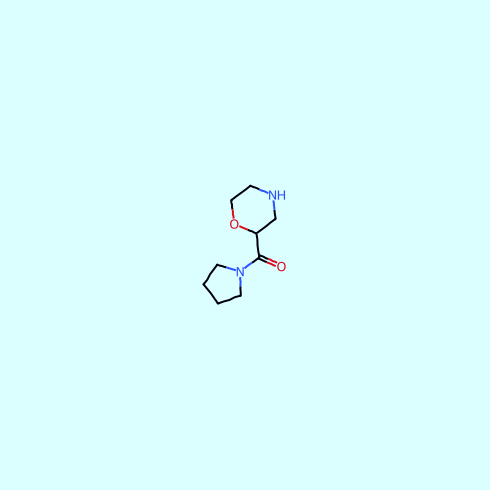 O=C(C1CNCCO1)N1CCCC1